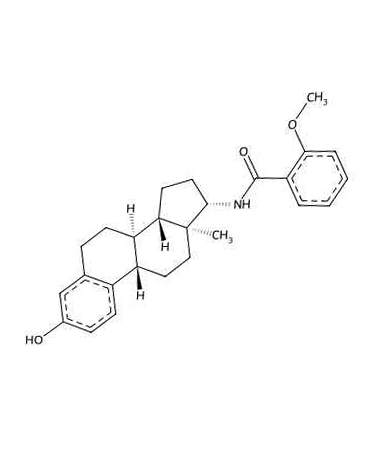 COc1ccccc1C(=O)N[C@H]1CC[C@H]2[C@@H]3CCc4cc(O)ccc4[C@H]3CC[C@]12C